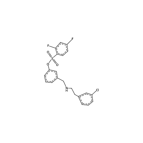 O=S(=O)(Oc1cccc(CNCCc2cccc(Cl)c2)c1)c1ccc(F)cc1F